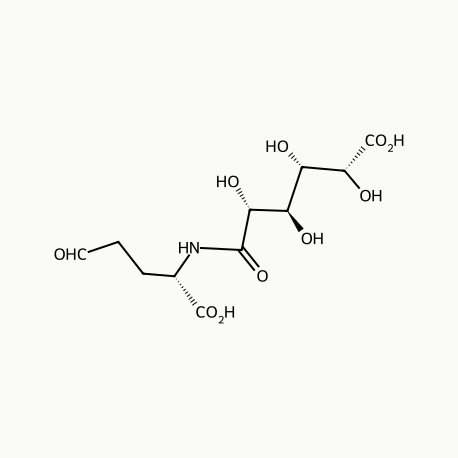 O=CCC[C@H](NC(=O)[C@H](O)[C@H](O)[C@H](O)[C@@H](O)C(=O)O)C(=O)O